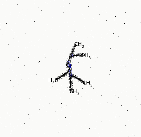 CCCCCCCCC/C=C(/CCCC/C=C1/CCCN(CC/C=C(\CCCCCCCCCCCC)CCN(CCCCCCCCCCCC)CCCCCCCCCCCC)CC1)CCCCCCCCC